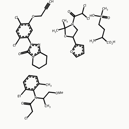 C#CCOc1cc(-n2nc3n(c2=O)CCCC3)c(Cl)cc1Cl.CC1(C)OC(c2ccco2)CN1C(=O)C(Cl)Cl.CCc1cccc(C)c1N(C(=O)CCl)C(C)COC.CP(=O)(O)CCC(N)C(=O)O